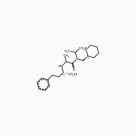 CCOC(=O)[C@H](CCc1ccccc1)NC(C)C(=O)N(C[C@@H]1CCCCO1)C(C)C(=O)O